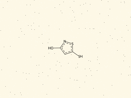 Oc1cc(S)sn1